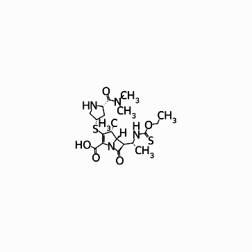 CCOC(=S)N[C@H](C)[C@H]1C(=O)N2C(C(=O)O)=C(S[C@@H]3CN[C@H](C(=O)N(C)C)C3)[C@H](C)[C@H]12